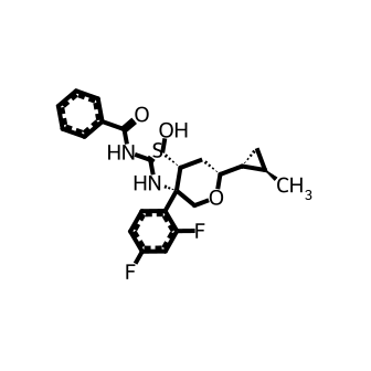 C[C@@H]1C[C@H]1[C@H]1C[C@@H](CO)[C@](NC(=S)NC(=O)c2ccccc2)(c2ccc(F)cc2F)CO1